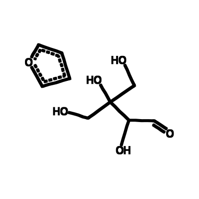 O=CC(O)C(O)(CO)CO.c1ccoc1